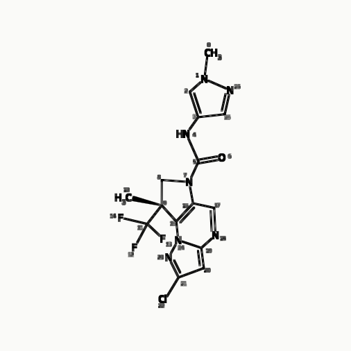 Cn1cc(NC(=O)N2C[C@@](C)(C(F)(F)F)c3c2cnc2cc(Cl)nn32)cn1